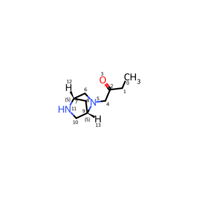 CCC(=O)CN1C[C@@H]2C[C@H]1CN2